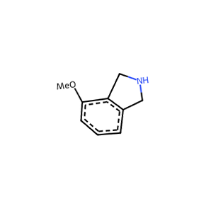 COc1cccc2c1CNC2